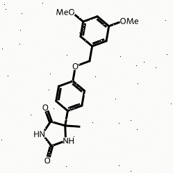 COc1cc(COc2ccc(C3(C)NC(=O)NC3=O)cc2)cc(OC)c1